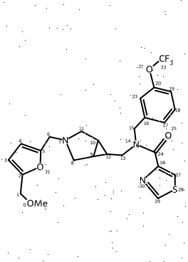 COCc1ccc(CN2CC3C(C2)C3CN(Cc2cccc(OC(F)(F)F)c2)C(=O)c2cscn2)o1